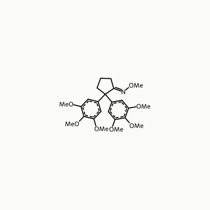 CON=C1CCCC1(c1cc(OC)c(OC)c(OC)c1)c1cc(OC)c(OC)c(OC)c1